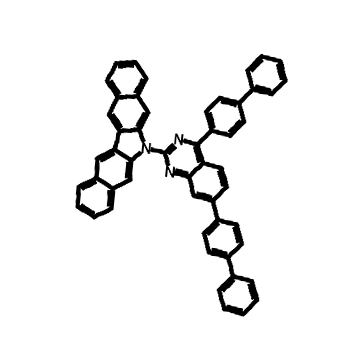 c1ccc(-c2ccc(-c3ccc4c(-c5ccc(-c6ccccc6)cc5)nc(-n5c6cc7ccccc7cc6c6cc7ccccc7cc65)nc4c3)cc2)cc1